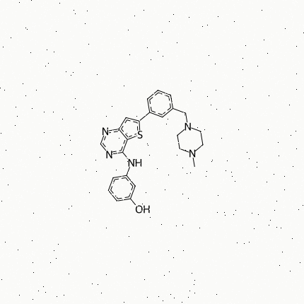 CN1CCN(Cc2cccc(-c3cc4ncnc(Nc5cccc(O)c5)c4s3)c2)CC1